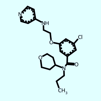 CCCN(C(=O)c1cc(Cl)cc(OCCNc2ccncc2)c1)C1CCOCC1